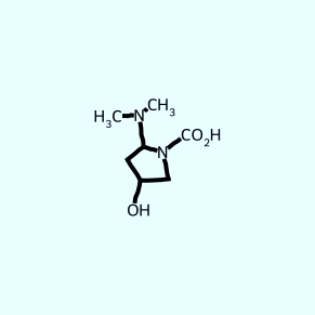 CN(C)C1CC(O)CN1C(=O)O